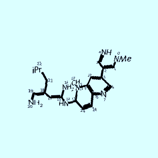 CN/C=C(\C=N)c1cnc2c(c1)N(C)C(N/C(N)=C/C(=C\N)CC(C)C)C=C2